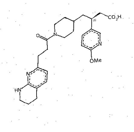 COc1ccc([C@H](CC(=O)O)CC2CCN(C(=O)CCc3ccc4c(n3)NCCC4)CC2)cn1